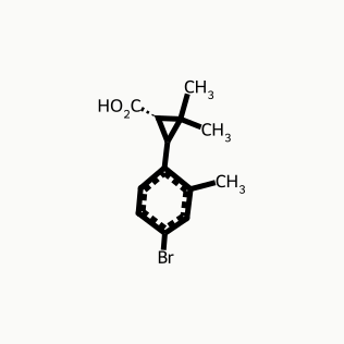 Cc1cc(Br)ccc1C1[C@H](C(=O)O)C1(C)C